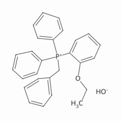 CCOc1ccccc1[P+](Cc1ccccc1)(c1ccccc1)c1ccccc1.[OH-]